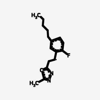 CCCCCc1ccc(F)c([CH]Cc2nnc(C)o2)c1